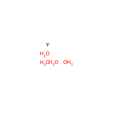 O.O.O.O.[Y]